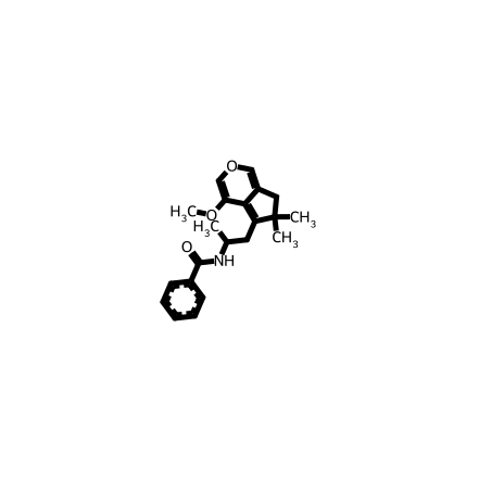 COC1=COC=C2CC(C)(C)C(CC(C)NC(=O)c3ccccc3)=C21